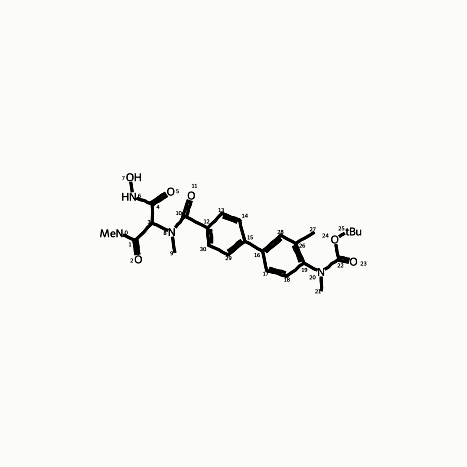 CNC(=O)C(C(=O)NO)N(C)C(=O)c1ccc(-c2ccc(N(C)C(=O)OC(C)(C)C)c(C)c2)cc1